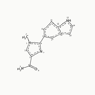 Cn1cc(C(N)=O)nc1-c1ccc2[nH]ccc2c1